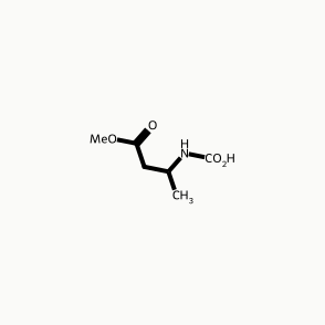 COC(=O)CC(C)NC(=O)O